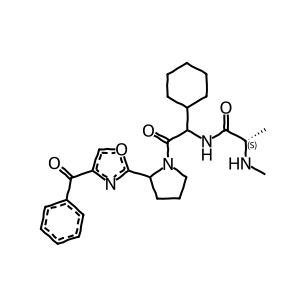 CN[C@@H](C)C(=O)NC(C(=O)N1CCCC1c1nc(C(=O)c2ccccc2)co1)C1CCCCC1